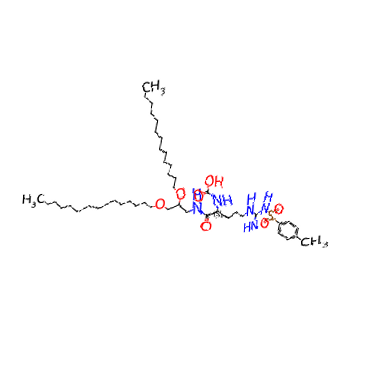 CCCCCCCCCCCCCCOCC(CNC(=O)[C@H](CCCNC(=N)NS(=O)(=O)c1ccc(C)cc1)NC(=O)O)OCCCCCCCCCCCCCC